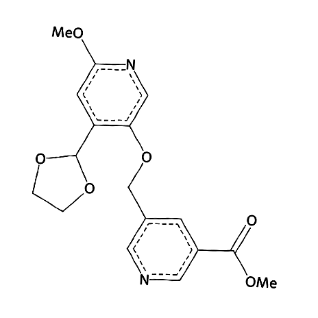 COC(=O)c1cncc(COc2cnc(OC)cc2C2OCCO2)c1